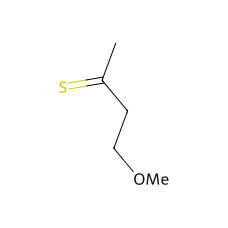 COCCC(C)=S